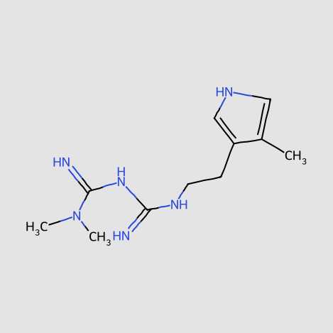 Cc1c[nH]cc1CCNC(=N)NC(=N)N(C)C